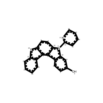 Oc1ccc2c3c4c(ccc3n(-c3ccccn3)c2c1)sc1ccccc14